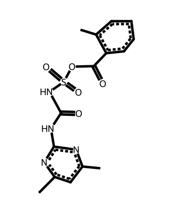 Cc1cc(C)nc(NC(=O)NS(=O)(=O)OC(=O)c2ccccc2C)n1